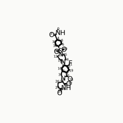 CNC(=O)c1ccc(S(=O)(=O)N2CCN(c3cc4c(cc3F)C(=O)N(C3CCC(=O)NC3=O)C4)CC2)cc1